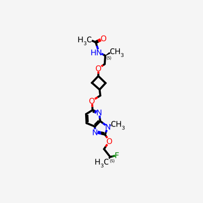 CC(=O)N[C@@H](C)COC1CC(COc2ccc3nc(OC[C@H](C)F)n(C)c3n2)C1